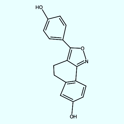 Oc1ccc(-c2onc3c2CCc2cc(O)ccc2-3)cc1